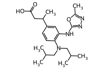 Cc1nnc(Nc2cc(C(C)CC(=O)O)ccc2N(CC(C)C)CC(C)C)o1